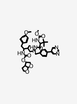 COC(=O)NC(C(=O)NN(Cc1ccc(-c2cncnc2)cc1)CC(C)C(Cc1ccc(OC)cc1)NC(=O)OC1COC2OCCC12)C(C)(C)C